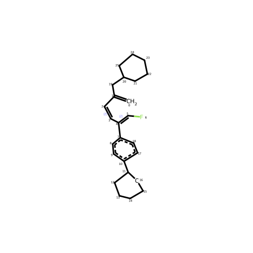 C=C(/C=C\C(=C\F)c1ccc(C2CCCCC2)cc1)CC1CCCCC1